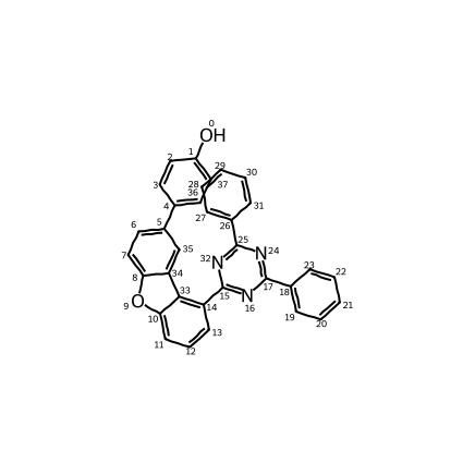 Oc1ccc(-c2ccc3oc4cccc(-c5nc(-c6ccccc6)nc(-c6ccccc6)n5)c4c3c2)cc1